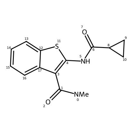 CNC(=O)c1c(NC(=O)C2CC2)sc2ccccc12